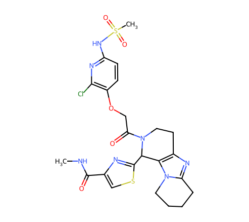 CNC(=O)c1csc(C2c3c(nc4n3CCCC4)CCN2C(=O)COc2ccc(NS(C)(=O)=O)nc2Cl)n1